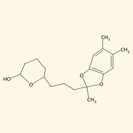 Cc1cc2c(cc1C)OC(C)(CCCC1CCCC(O)O1)O2